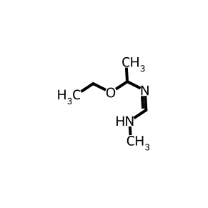 CCOC(C)/N=C\NC